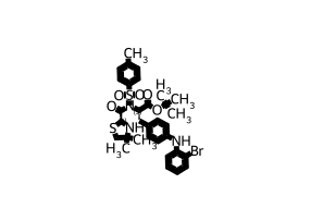 Cc1ccc(S(=O)(=O)N(C(=O)[C@H]2NC(C)(C)CS2)[C@@H](Cc2ccc(Nc3ccccc3Br)cc2)C(=O)OC(C)(C)C)cc1